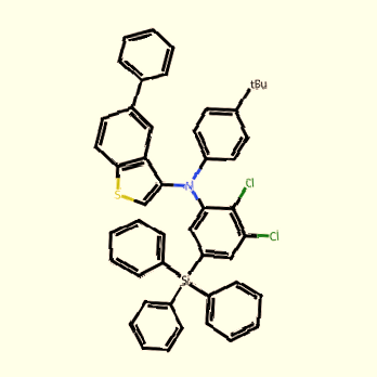 CC(C)(C)c1ccc(N(c2cc([Si](c3ccccc3)(c3ccccc3)c3ccccc3)cc(Cl)c2Cl)c2csc3ccc(-c4ccccc4)cc23)cc1